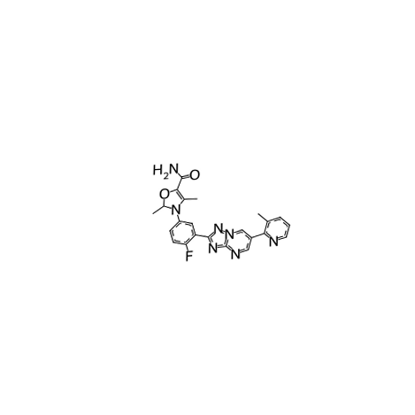 CC1=C(C(N)=O)OC(C)N1c1ccc(F)c(-c2nc3ncc(-c4ncccc4C)cn3n2)c1